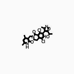 Cc1cc(C)c(CN2CCc3c(Cl)cc(-c4c(C)noc4C(C)O)c(Cl)c3C2=O)c(=O)[nH]1